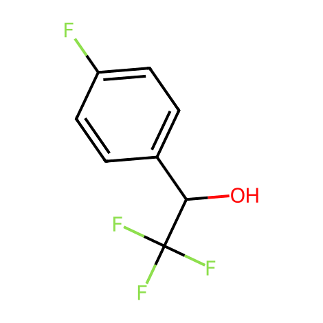 OC(c1ccc(F)cc1)C(F)(F)F